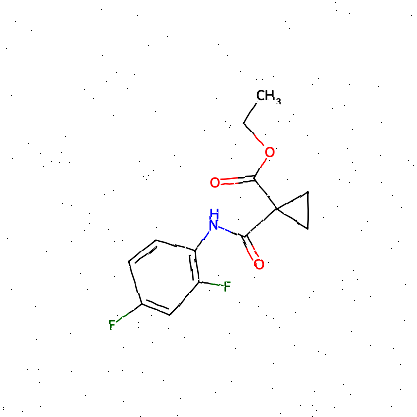 CCOC(=O)C1(C(=O)Nc2ccc(F)cc2F)CC1